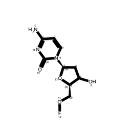 Nc1ccn([C@H]2CC(O)[C@@H](COF)O2)c(=O)n1